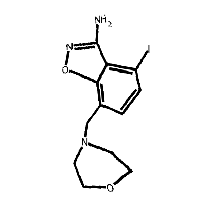 Nc1noc2c(CN3CCOCC3)ccc(I)c12